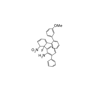 COc1cccc(-c2ccccc2C2=CC=CC([N+](=O)[O-])C2(F)c2cccc(-c3ccccc3)c2N)c1